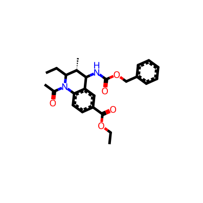 CCOC(=O)c1ccc2c(c1)C(NC(=O)OCc1ccccc1)[C@@H](C)C(CC)N2C(C)=O